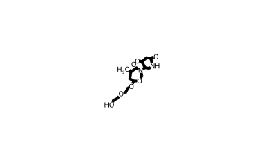 C=C1CC(OCCOCCO)OCN(C2CNC(=O)CC2=O)C1=O